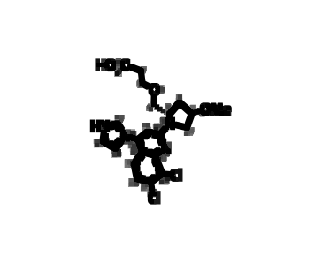 CO[C@@H]1C[C@@H](COCCC(=O)O)N(c2cc(-[n+]3cc[nH]c3)c3ccc(Cl)c(Cl)c3n2)C1